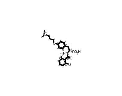 CC(=O)N(C)CCCOc1ccc(C[C@H](NC(=O)c2c(Cl)cccc2Cl)C(=O)O)cc1